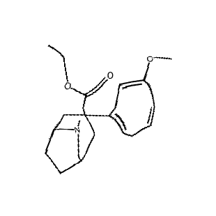 CCOC(=O)C1(c2cccc(OC)c2)CC2CCC(C1)N2C